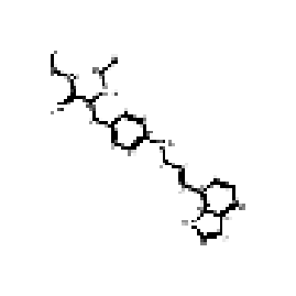 CCOC(=O)C(Cc1ccc(OCC=Cc2cccc3ccoc23)cc1)OCC